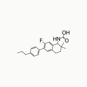 CCCc1ccc(-c2cc3c(cc2F)C(NC(=O)O)C(C)(C)CC3)cc1